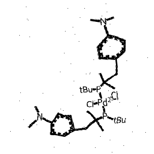 CN(C)c1ccc(CC(C)(C)[P](C(C)(C)C)[Pd-2]([Cl])([Cl])[P](C(C)(C)C)C(C)(C)Cc2ccc(N(C)C)cc2)cc1